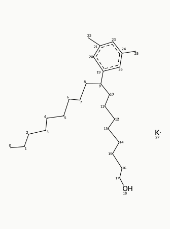 CCCCCCCCCC(CCCCCCCCO)c1cc(C)cc(C)c1.[K]